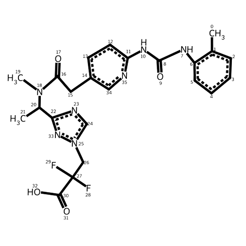 Cc1ccccc1NC(=O)Nc1ccc(CC(=O)N(C)C(C)c2ncn(CC(F)(F)C(=O)O)n2)cn1